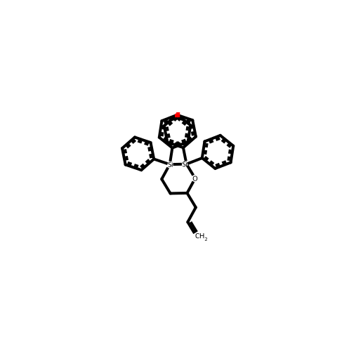 C=CCC1CC[Si](c2ccccc2)(c2ccccc2)[Si](c2ccccc2)(c2ccccc2)O1